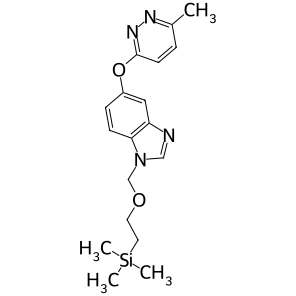 Cc1ccc(Oc2ccc3c(c2)ncn3COCC[Si](C)(C)C)nn1